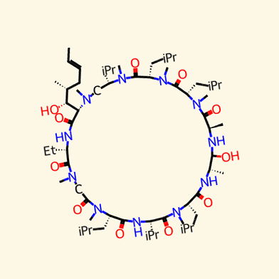 C/C=C/C[C@@H](C)[C@@H](O)[C@H]1C(=O)N[C@@H](CC)C(=O)N(C)CC(=O)N(C)[C@@H](CC(C)C)C(=O)N[C@@H](C(C)C)C(=O)N(C)[C@@H](CC(C)C)C(=O)N[C@@H](C)C(O)N[C@H](C)C(=O)N(C)[C@@H](CC(C)C)C(=O)N(C)[C@@H](CC(C)C)C(=O)N(C)[C@@H](C(C)C)CN1C